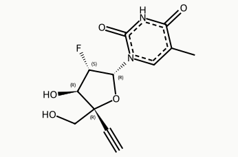 C#C[C@]1(CO)O[C@@H](n2cc(C)c(=O)[nH]c2=O)[C@@H](F)[C@@H]1O